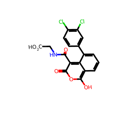 O=C(O)CNC(=O)c1c(=O)oc(O)c2cccc(-c3ccc(Cl)c(Cl)c3)c12